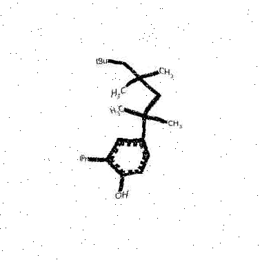 CC(C)c1cc(C(C)(C)CC(C)(C)CC(C)(C)C)ccc1O